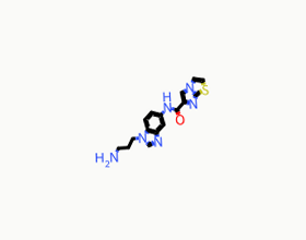 NCCCn1cnc2cc(NC(=O)c3cn4ccsc4n3)ccc21